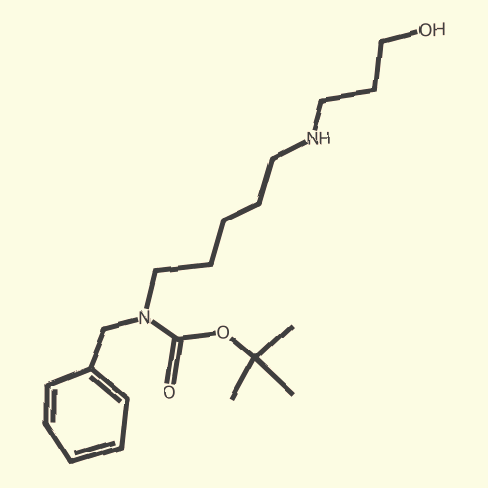 CC(C)(C)OC(=O)N(CCCCCNCCCO)Cc1ccccc1